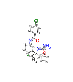 CC1(c2cc(NC(=O)c3ccc(Cl)cc3)ccc2F)CC2(CCC2)OC(N)=N1